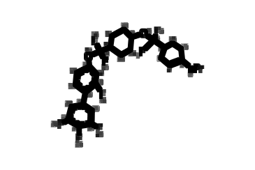 CCCC1=CCC(C(F)(F)OC2CCC(C(F)(F)Oc3ccc(-c4cc(F)c(F)c(F)c4)c(F)c3)CC2)CC1